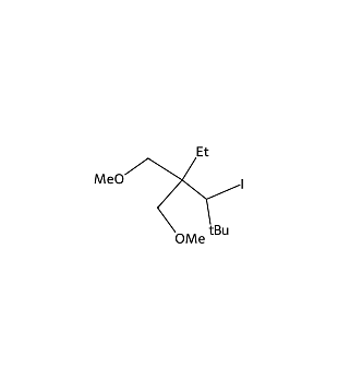 CCC(COC)(COC)C(I)C(C)(C)C